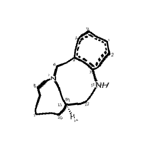 c1ccc2c(c1)CN1CCC[C@@H]1CN2